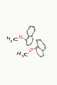 COc1cc[c]c2ccccc12.COc1cc[c]c2ccccc12